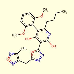 CCCCc1nc(O)c(-c2nnc(Cc3nonc3C)o2)c(O)c1-c1c(OC)cccc1OC